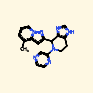 Cc1cccn2nc(C3c4nc[nH]c4CCN3c3cnccn3)cc12